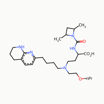 CCCOCCN(CCCCc1ccc2c(n1)NCCC2)CCC(NC(=O)N1C(C)CC1C)C(=O)O